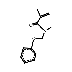 C=C(C)C(=O)N(C)COc1ccccc1